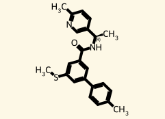 CSc1cc(C(=O)N[C@H](C)c2ccc(C)nc2)cc(-c2ccc(C)cc2)c1